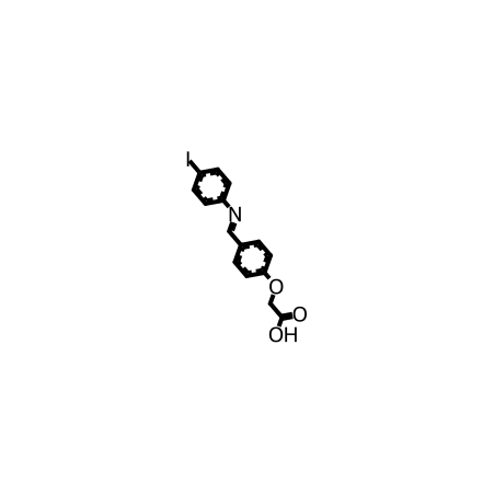 O=C(O)COc1ccc(C=Nc2ccc(I)cc2)cc1